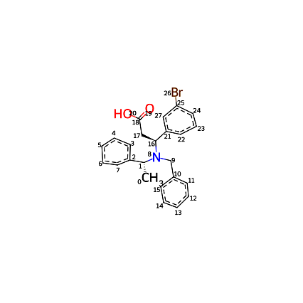 C[C@H](c1ccccc1)N(Cc1ccccc1)[C@@H](CC(=O)O)c1cccc(Br)c1